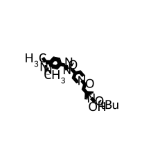 Cc1nn(C)c2cc(-c3noc(C4CCN(C(=O)CC5CN(C(O)OC(C)(C)C)C5)CC4)n3)ccc12